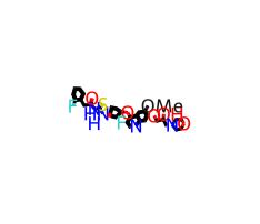 COc1cc2c(Oc3ccc(NC(=S)NC(=O)Cc4ccccc4F)cc3F)ccnc2cc1OCC(O)CN1CCOCC1